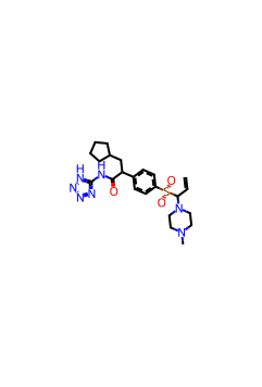 C=CC(N1CCN(C)CC1)S(=O)(=O)c1ccc(C(CC2CCCC2)C(=O)Nc2nnn[nH]2)cc1